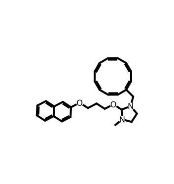 CN1CCN(CC2=C/C=C\C=C/C=C\C=C/C=C\2)C1OCCCOc1ccc2ccccc2c1